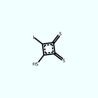 S=c1c(S)c(I)c1=S